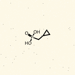 O=P(O)(O)C[C]1CC1